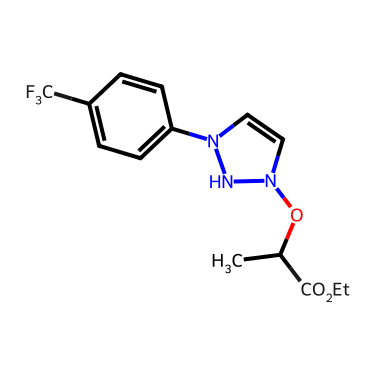 CCOC(=O)C(C)ON1C=CN(c2ccc(C(F)(F)F)cc2)N1